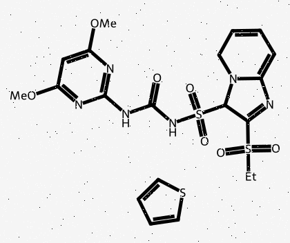 CCS(=O)(=O)C1=NC2=CC=CCN2C1S(=O)(=O)NC(=O)Nc1nc(OC)cc(OC)n1.c1ccsc1